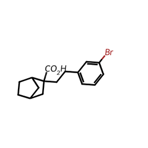 O=C(O)C1(CCc2cccc(Br)c2)CC2CCC1C2